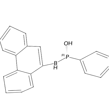 O[P@@](Bc1cc2ccccc2c2ccccc12)c1ccccc1